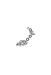 CC(C)(C)OC(=O)N1CCCC(C(NC(=O)c2ccc(-c3ccc(Nc4nc5ccc(F)cc5s4)cc3)cc2)C(=O)O)C1